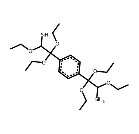 CCOC([SiH3])C(OCC)(OCC)c1ccc(C(OCC)(OCC)C([SiH3])OCC)cc1